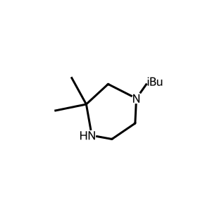 CCC(C)N1CCNC(C)(C)C1